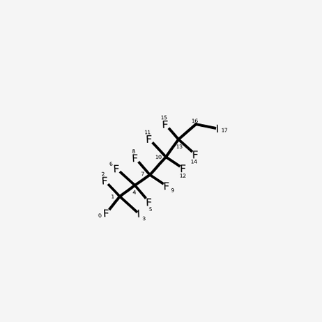 FC(F)(I)C(F)(F)C(F)(F)C(F)(F)C(F)(F)CI